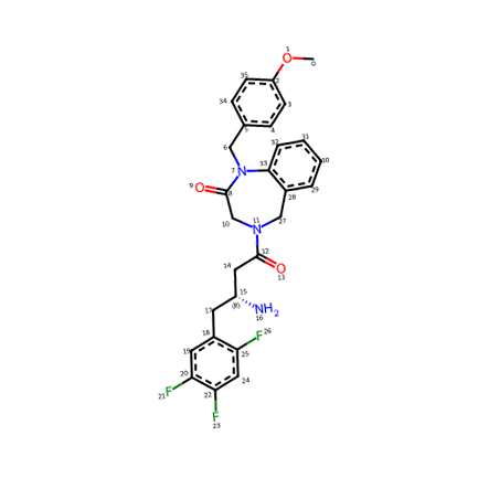 COc1ccc(CN2C(=O)CN(C(=O)C[C@H](N)Cc3cc(F)c(F)cc3F)Cc3ccccc32)cc1